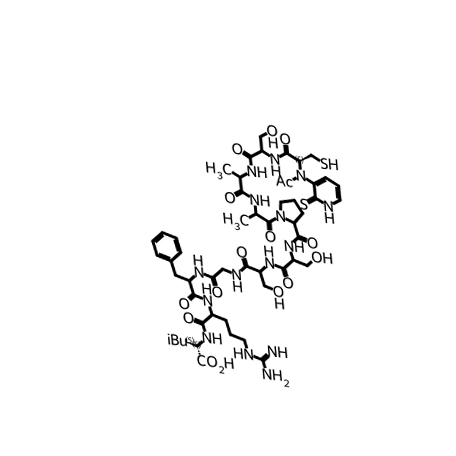 CC[C@H](C)[C@H](NC(=O)C(CCCNC(=N)N)NC(=O)C(Cc1ccccc1)NC(=O)CNC(=O)C(CO)NC(=O)C(CO)NC(=O)C1CCCN1C(=O)C(C)NC(=O)C(C)NC(=O)C(CO)NC(=O)[C@@H](CS)N(C(C)=O)c1ccc[nH]c1=S)C(=O)O